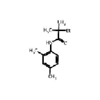 CCC(C)(C)C(=O)Nc1ccc(C)cc1C